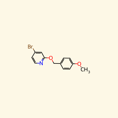 COc1ccc(COc2cc(Br)ccn2)cc1